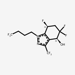 O[C@H]1c2c(C(F)(F)F)nn(CCCC(F)(F)F)c2[C@@H](F)CC1(F)F